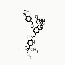 COc1ccc(COc2cc(CNc3ccc(C(C)(C)C)cn3)cc(F)c2N2CC(=O)NS2(=O)=O)cc1